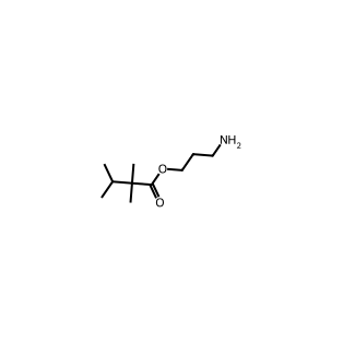 CC(C)C(C)(C)C(=O)OCCCN